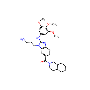 COc1cc(Nc2nc3ccc(C(=O)N4CCC5CCCCC5C4)cc3n2CCCN)cc(OC)c1OC